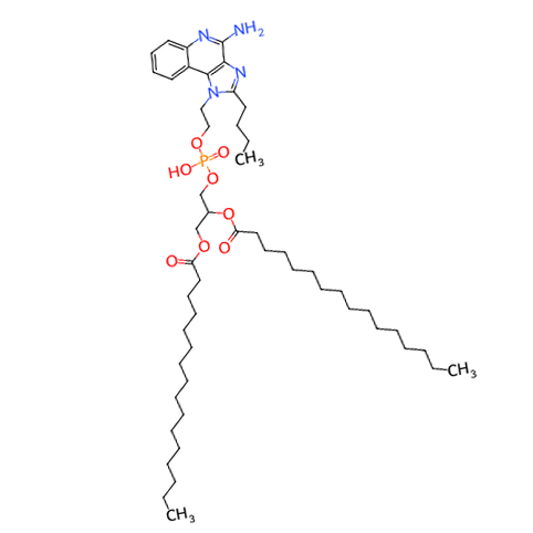 CCCCCCCCCCCCCCCC(=O)OCC(COP(=O)(O)OCCn1c(CCCC)nc2c(N)nc3ccccc3c21)OC(=O)CCCCCCCCCCCCCCC